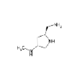 CNC1CN[C@H](CN)C1